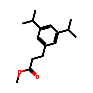 COC(=O)CCc1cc(C(C)C)cc(C(C)C)c1